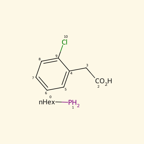 CCCCCCP.O=C(O)Cc1ccccc1Cl